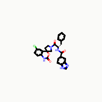 O=C1Nc2ccc(Cl)cc2C2(CCN(C(=O)[C@H](Cc3ccccc3)NC(=O)c3ccc4[nH]cnc4c3)C2)O1